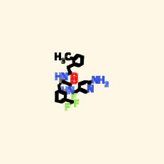 Cc1ccccc1CC(=O)N[C@@H](Cc1cccc(C(F)(F)F)c1)C(=O)NCc1ccc(N)nc1